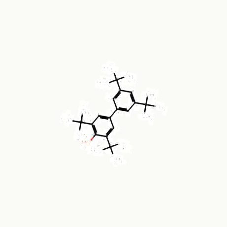 CC(C)(C)c1cc(-c2cc(C(C)(C)C)c(O)c(C(C)(C)C)c2)cc(C(C)(C)C)c1